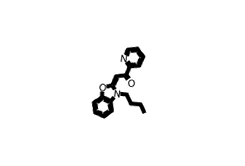 CCCCN1/C(=C\C(=O)c2ccccn2)Oc2ccccc21